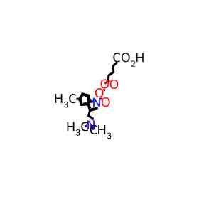 Cc1ccc2c(c1)c(CCN(C)C)cn2C(=O)OCOC(=O)CCCCC(=O)O